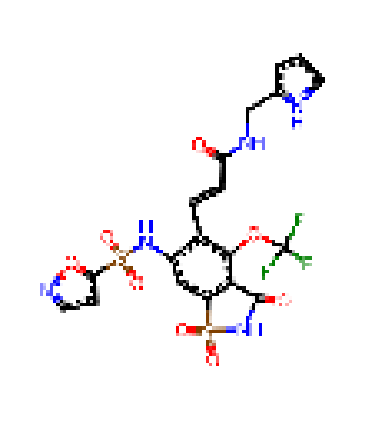 O=C(C=Cc1c(NS(=O)(=O)c2ccno2)cc2c(c1OC(F)(F)F)C(=O)NS2(=O)=O)NCc1ccc[nH]1